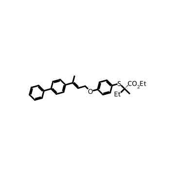 CCOC(=O)[C@](C)(CC)Sc1ccc(OC/C=C(\C)c2ccc(-c3ccccc3)cc2)cc1